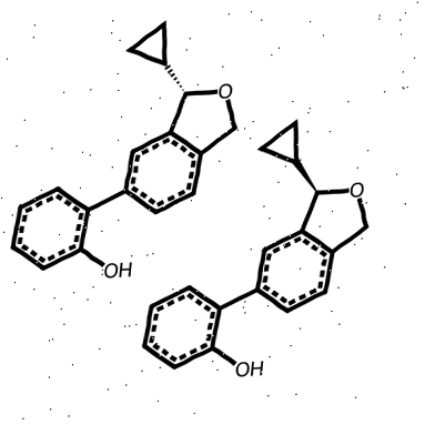 Oc1ccccc1-c1ccc2c(c1)[C@@H](C1CC1)OC2.Oc1ccccc1-c1ccc2c(c1)[C@H](C1CC1)OC2